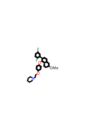 COc1ccc2c(Oc3ccc(OCCN4CCCCC4)cc3)c(-c3cc(F)ccc3F)ccc2c1